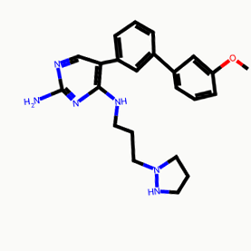 COc1cccc(-c2cccc(-c3cnc(N)nc3NCCCN3CCCN3)c2)c1